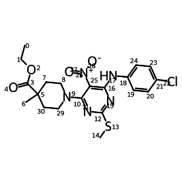 CCOC(=O)C1(C)CCN(c2nc(SC)nc(Nc3ccc(Cl)cc3)c2[N+](=O)[O-])CC1